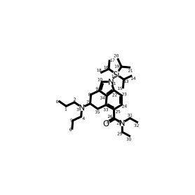 CCCN(CCC)C1Cc2cn([Si](C(C)C)(C(C)C)C(C)C)c3ccc(C(=O)N(CC)CC)c(c23)C1